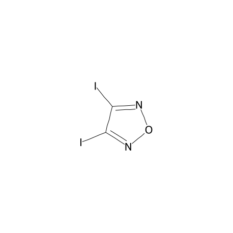 Ic1nonc1I